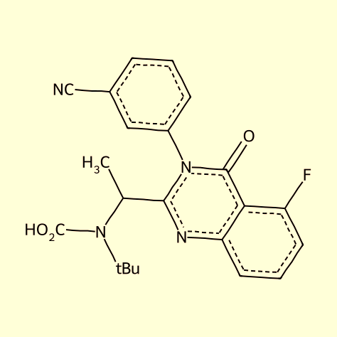 CC(c1nc2cccc(F)c2c(=O)n1-c1cccc(C#N)c1)N(C(=O)O)C(C)(C)C